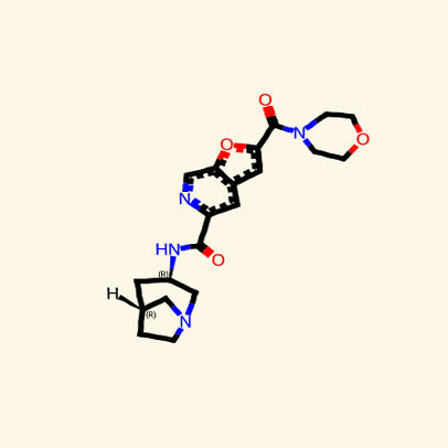 O=C(N[C@@H]1C[C@H]2CCN(C2)C1)c1cc2cc(C(=O)N3CCOCC3)oc2cn1